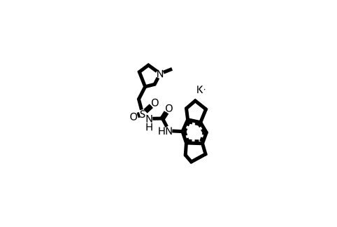 CN1CCC(CS(=O)(=O)NC(=O)Nc2c3c(cc4c2CCC4)CCC3)C1.[K]